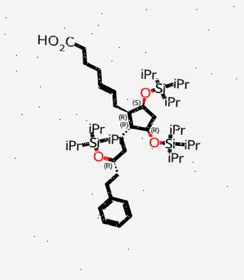 CC(C)[Si](O[C@@H](CCc1ccccc1)CC[C@@H]1[C@@H](CC=CCCCC(=O)O)[C@@H](O[Si](C(C)C)(C(C)C)C(C)C)C[C@H]1O[Si](C(C)C)(C(C)C)C(C)C)(C(C)C)C(C)C